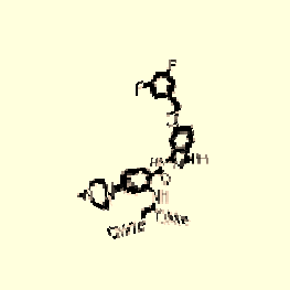 COCC(Nc1cc(N2CCN(C)CC2)ccc1C(=O)Nc1n[nH]c2ccc(OCc3cc(F)cc(F)c3)cc12)OC